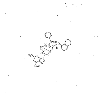 CCCOC(=O)[C@H](NP(=O)(OC[C@H]1OC(n2cnc3c(OC)nc(N)nc32)[C@](C)(O)[C@@H]1O)Oc1cccc2ccccc12)c1ccccc1